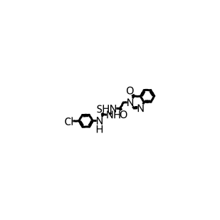 O=C(Cn1cnc2ccccc2c1=O)NNC(=S)Nc1ccc(Cl)cc1